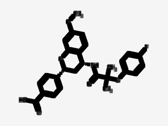 COc1ccc2c(c1)O[C@@H](c1ccc(C(=O)O)cc1)C[C@H]2NC(=O)C(C)(C)Oc1ccc(F)cc1